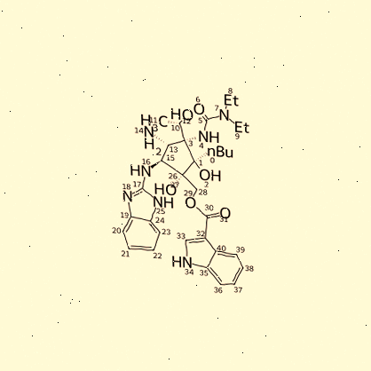 CCCC[C@@]1(O)[C@](NC(=O)N(CC)CC)([C@H](C)O)[C@@H](N)[C@H](Nc2nc3ccccc3[nH]2)[C@]1(O)COC(=O)c1c[nH]c2ccccc12